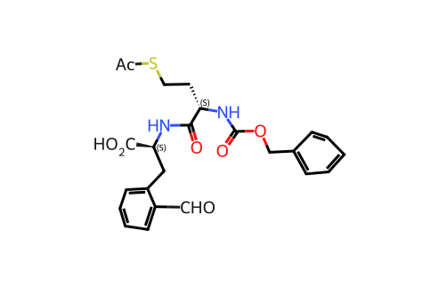 CC(=O)SCC[C@H](NC(=O)OCc1ccccc1)C(=O)N[C@@H](Cc1ccccc1C=O)C(=O)O